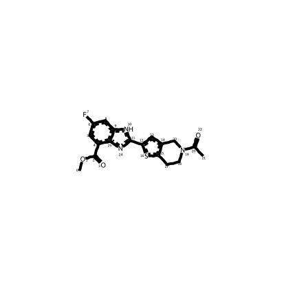 COC(=O)c1cc(F)cc2[nH]c(-c3cc4c(s3)CCN(C(C)=O)C4)nc12